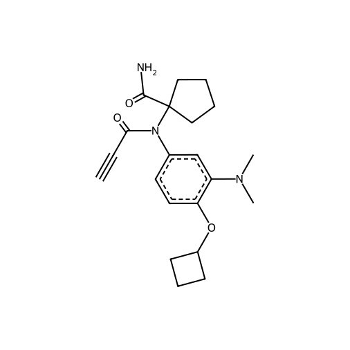 C#CC(=O)N(c1ccc(OC2CCC2)c(N(C)C)c1)C1(C(N)=O)CCCC1